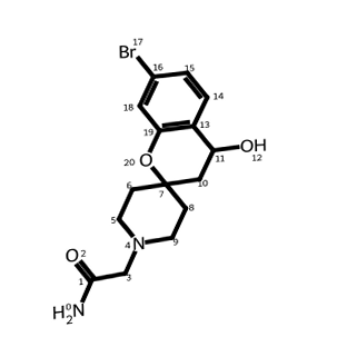 NC(=O)CN1CCC2(CC1)CC(O)c1ccc(Br)cc1O2